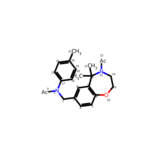 CC(=O)N(Cc1ccc2c(c1)C(C)(C)N(C(C)=O)CCO2)c1ccc(C)cc1